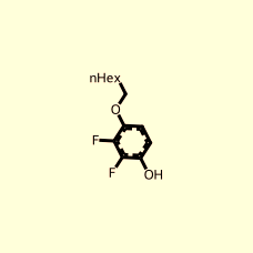 CCCCCCCOc1ccc(O)c(F)c1F